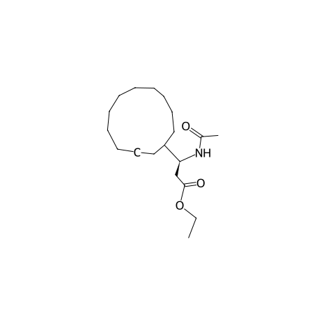 CCOC(=O)C[C@H](NC(C)=O)C1CCCCCCCCCCC1